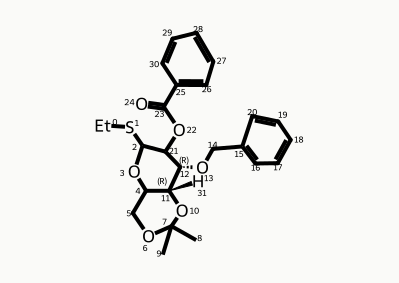 CCSC1OC2COC(C)(C)O[C@H]2[C@@H](OCc2ccccc2)C1OC(=O)c1ccccc1